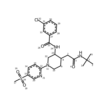 CC(C)(C)NC(=O)CC1CCN(c2ccc(S(C)(=O)=O)cn2)CC1NC(=O)c1cccc(Cl)c1